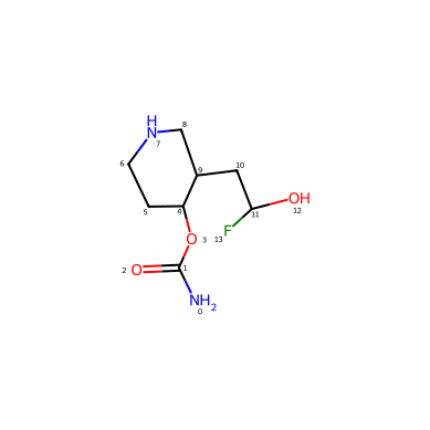 NC(=O)OC1CCNCC1CC(O)F